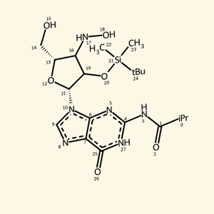 CC(C)C(=O)Nc1nc2c(ncn2[C@@H]2O[C@H](CO)C(NO)C2O[Si](C)(C)C(C)(C)C)c(=O)[nH]1